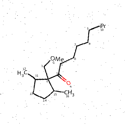 COCC1(C(=O)CCCCCC(C)C)C(C)CCC1C